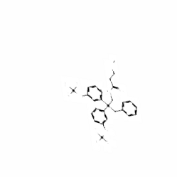 COCCC(=O)NCC(Cc1ccccc1)(c1cccc(OC(F)(F)F)c1)c1cccc(OC(F)(F)F)c1